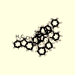 CC1(C)c2ccccc2-c2ccc(N(c3ccccc3)c3cccc([Si](c4ccccc4)(c4ccccc4)c4ccccc4N(c4ccccc4)c4ccc5sc6ccccc6c5c4)c3)cc21